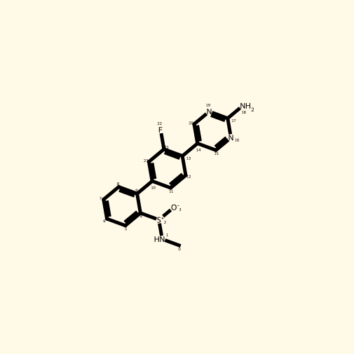 CN[S+]([O-])c1ccccc1-c1ccc(-c2cnc(N)nc2)c(F)c1